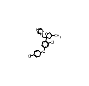 CC1COC(Cn2cncn2)(c2ccc(OC3C=CC(Cl)=CC3)cc2Cl)C1